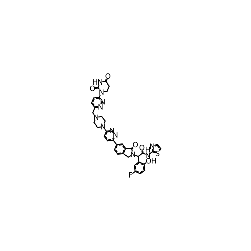 O=C1CCN(c2ccc(CN3CCN(c4ccc(-c5ccc6c(c5)C(=O)N(C(C(=O)Nc5nccs5)c5cc(F)ccc5O)C6)nn4)CC3)nn2)C(=O)N1